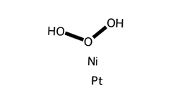 OOO.[Ni].[Pt]